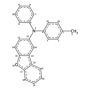 Cc1ccc(N(c2ccccc2)c2ccc3oc4ccccc4c3c2)cc1